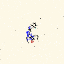 Cc1nc(NCc2cnn(Cc3cc(F)c(F)c(F)c3)c2)nc2c1NC(=O)[C@H](C)N2C